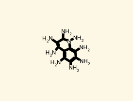 NC1=C(N)C(N)N(N)c2c(N)c(N)c(N)c(N)c21